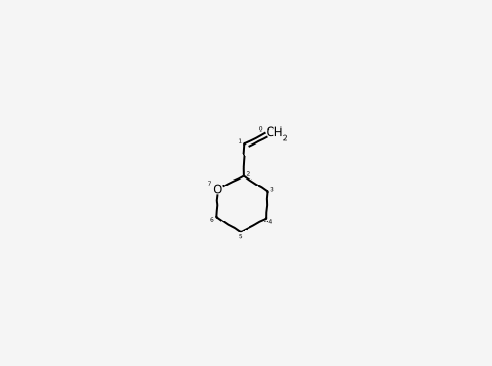 C=CC1C[C]CCO1